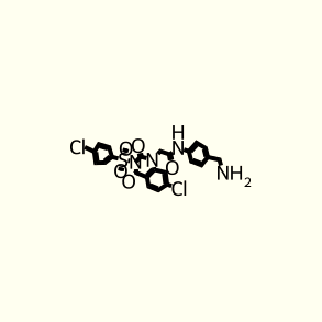 NCc1ccc(NC(=O)Cn2c(=O)n(S(=O)(=O)c3ccc(Cl)cc3)c(=O)c3ccc(Cl)cc32)cc1